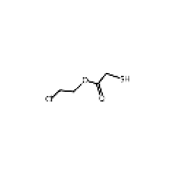 O=C(CS)OCCCl